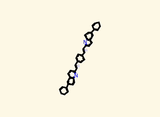 C1=CC(c2ccc3nc(/C=C/c4ccc(/C=C/c5ccc6cc(C7=CCCC=C7)ccc6n5)cc4)ccc3c2)=CCC1